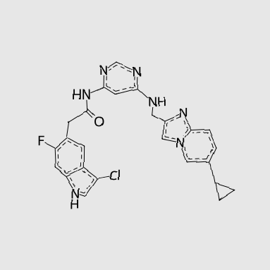 O=C(Cc1cc2c(Cl)c[nH]c2cc1F)Nc1cc(NCc2cn3cc(C4CC4)ccc3n2)ncn1